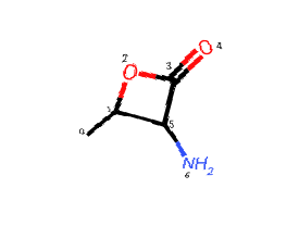 CC1OC(=O)C1N